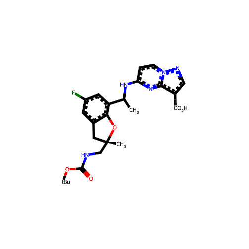 CC(Nc1ccn2ncc(C(=O)O)c2n1)c1cc(F)cc2c1O[C@](C)(CNC(=O)OC(C)(C)C)C2